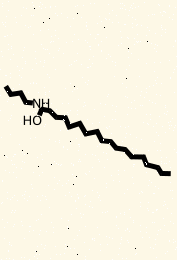 CCCCCCCCCCCCCCCCCC(O)NCCCC